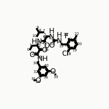 CCC(NC(=O)[C@H](CC(C)C)NC(=O)NCc1c(Cl)ccc(C)c1F)C(=O)C(=O)NCc1cc(OC)cc(OC)c1